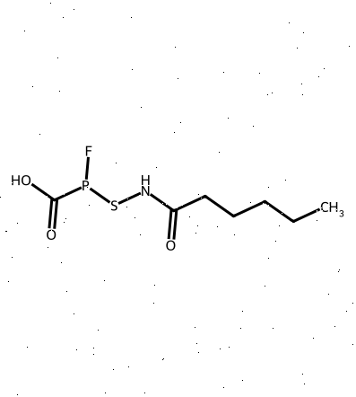 CCCCCC(=O)NSP(F)C(=O)O